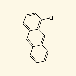 Clc1cccc2cc3ccc[c]c3cc12